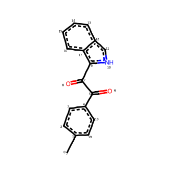 [CH2]c1ccc(C(=O)C(=O)c2[nH]cc3ccccc23)cc1